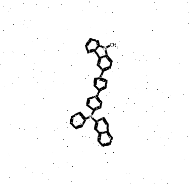 Cn1c2ccccc2c2cc(-c3ccc(-c4ccc(N(c5ccccc5)c5ccc6ccccc6c5)cc4)cc3)ccc21